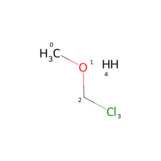 COCCl.[HH]